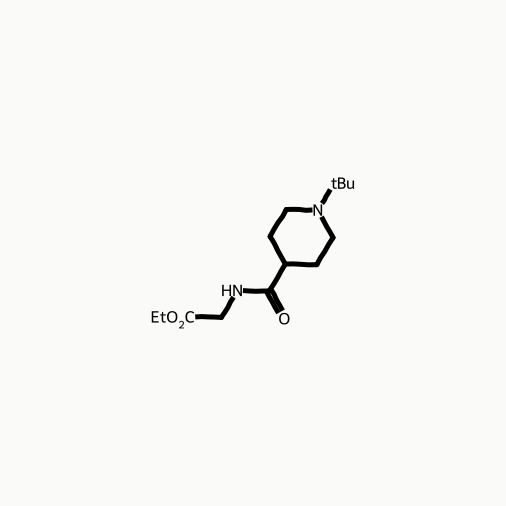 CCOC(=O)CNC(=O)C1CCN(C(C)(C)C)CC1